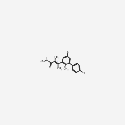 CCCNC(=O)/C(C)=C(\C)c1cc(Cl)cc(-c2ccc(Cl)cc2)c1C